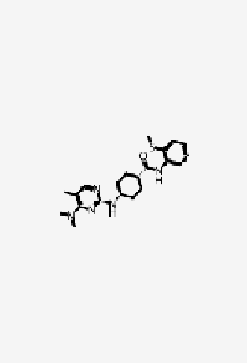 CSc1ccccc1NC(=O)[C@H]1CC[C@@H](Nc2ncc(C)c(N(C)C)n2)CC1